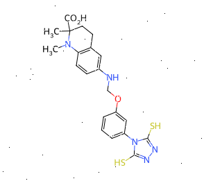 CN1c2ccc(NCOc3cccc(-n4c(S)nnc4S)c3)cc2CCC1(C)C(=O)O